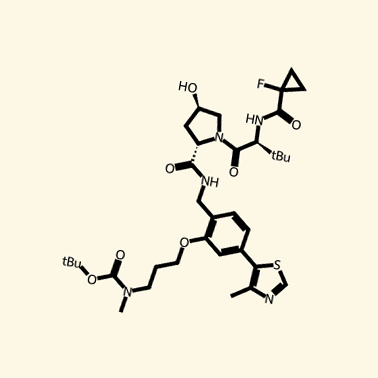 Cc1ncsc1-c1ccc(CNC(=O)[C@@H]2C[C@@H](O)CN2C(=O)[C@@H](NC(=O)C2(F)CC2)C(C)(C)C)c(OCCCN(C)C(=O)OC(C)(C)C)c1